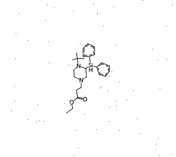 CCOC(=O)CCN1CCN(C(C)(C)C)C([SiH](c2ccccc2)c2ccccc2)C1